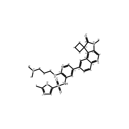 Cc1ncc(S(=O)(=O)Nc2cc(-c3ccc4ncc5c(c4c3)C3(CCC3)C(=O)N5C)cnc2OCCCN(C)C)s1